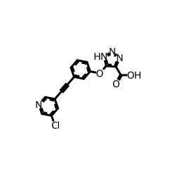 O=C(O)c1nn[nH]c1Oc1cccc(C#Cc2cncc(Cl)c2)c1